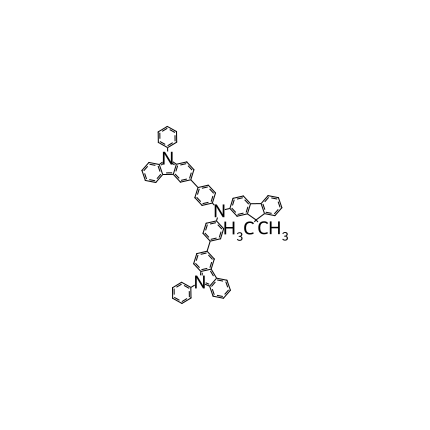 CC1(C)c2ccccc2-c2ccc(N(c3ccc(-c4ccc5c(c4)c4ccccc4n5-c4ccccc4)cc3)c3ccc(-c4ccc5c(c4)c4ccccc4n5-c4ccccc4)cc3)cc21